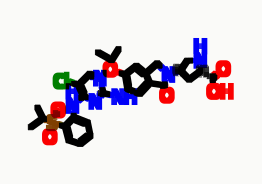 CC(C)Oc1cc2c(cc1Nc1ncc(Cl)c(Nc3ccccc3S(=O)(=O)C(C)C)n1)C(=O)N([C@H]1CN[C@H](C(=O)O)C1)C2